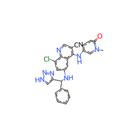 Cn1cc(Nc2c(C#N)cnc3c(Cl)cc(NC(c4ccccc4)c4c[nH]nn4)cc23)ccc1=O